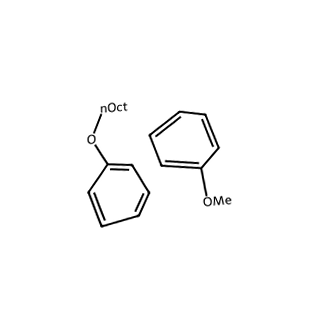 CCCCCCCCOc1ccccc1.COc1ccccc1